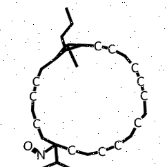 CCCC1C2CCCCCCCCCCCCCC(N=O)(C(C)C)CCCCCCC1C2C